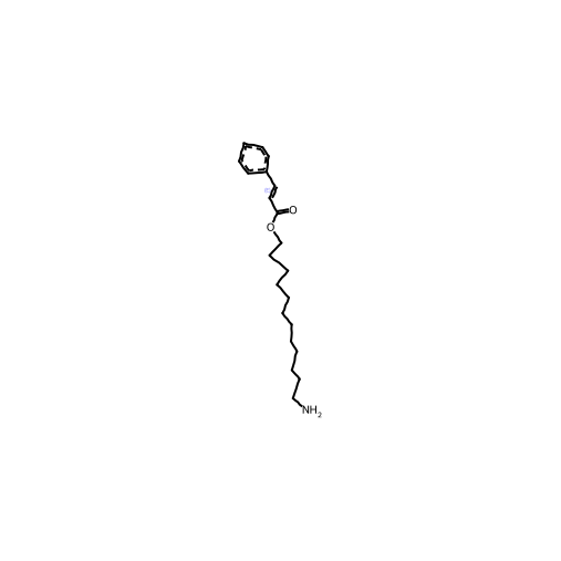 NCCCCCCCCCCCCOC(=O)/C=C/c1ccccc1